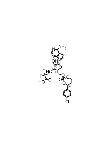 C[C@@]1(O)[C@H](O)[C@@H](CO[P@@]2(=O)OCC[C@@H](c3ccc(Cl)cc3)O2)O[C@H]1n1ccc2c(N)ncnc21.O=C(O)C(F)(F)F